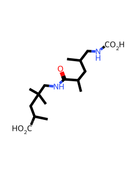 CC(CNC(=O)O)CC(C)C(=O)NCC(C)(C)CC(C)C(=O)O